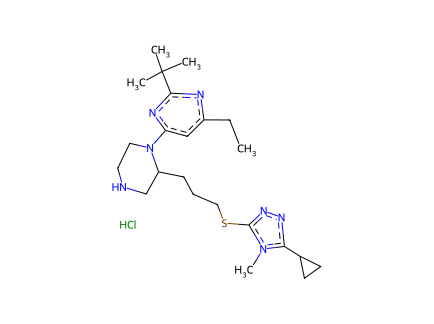 CCc1cc(N2CCNCC2CCCSc2nnc(C3CC3)n2C)nc(C(C)(C)C)n1.Cl